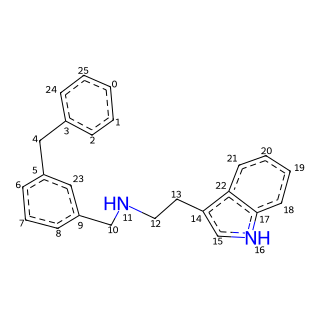 c1ccc(Cc2cccc(CNCCc3c[nH]c4ccccc34)c2)cc1